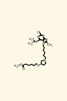 COC(=O)CCCCCO[C@@H]1CCN(CCCCCCn2c(C)nc3nc(Cl)nc(SC(C)C)c32)C1